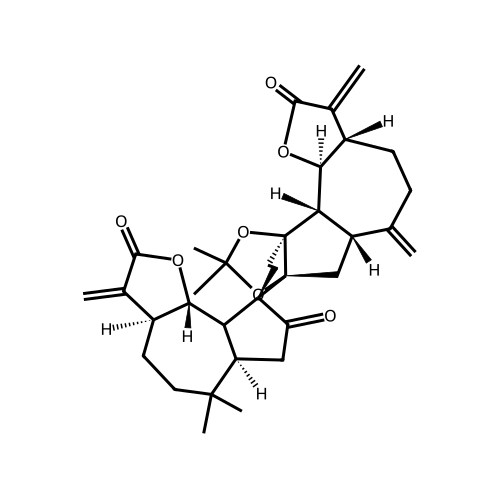 C=C1C(=O)O[C@@H]2[C@@H]3[C@@H](C[C@@]45OC(C)(C)O[C@@]34CC[C@]53C(=O)C[C@@H]4C3[C@H]3OC(=O)C(=C)[C@@H]3CCC4(C)C)C(=C)CC[C@@H]12